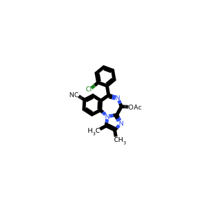 CC(=O)OC1N=C(c2ccccc2Cl)c2cc(C#N)ccc2-n2c1nc(C)c2C